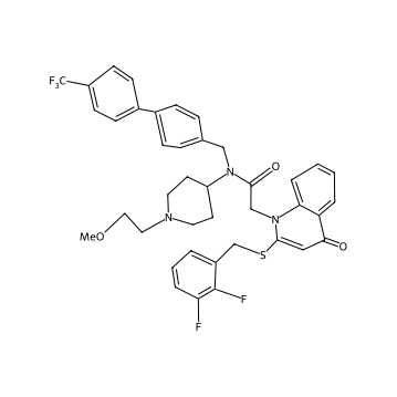 COCCN1CCC(N(Cc2ccc(-c3ccc(C(F)(F)F)cc3)cc2)C(=O)Cn2c(SCc3cccc(F)c3F)cc(=O)c3ccccc32)CC1